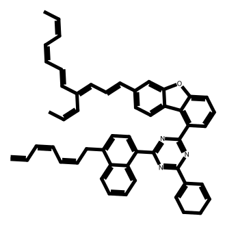 C=C/C=C\C=C/Cc1ccc(-c2nc(C3=CCCC=C3)nc(-c3cccc4oc5cc(/C=C/C=C(\C=C/C)/C=C/C=C\C=C/C)ccc5c34)n2)c2ccccc12